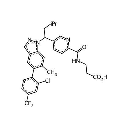 Cc1cc2c(cnn2C(CC(C)C)c2ccc(C(=O)NCCC(=O)O)nc2)cc1-c1ccc(C(F)(F)F)cc1Cl